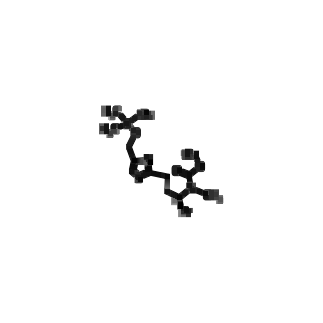 CC(C)[C@@H](CCc1nc(CO[Si](C)(C)C(C)(C)C)cs1)N(C)C(=O)OC(C)(C)C